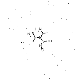 CC(N)N(C(C)N)N(O)N=O